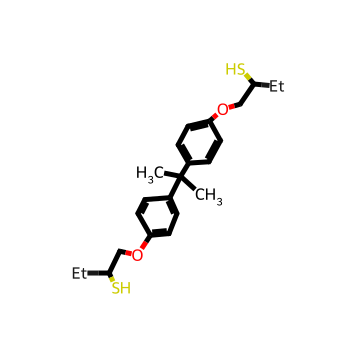 CCC(S)COc1ccc(C(C)(C)c2ccc(OCC(S)CC)cc2)cc1